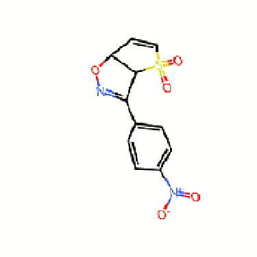 O=[N+]([O-])c1ccc(C2=NOC3C=CS(=O)(=O)C23)cc1